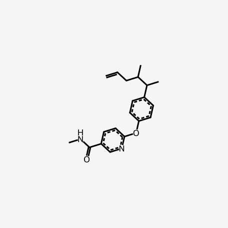 C=CCC(C)C(C)c1ccc(Oc2ccc(C(=O)NC)cn2)cc1